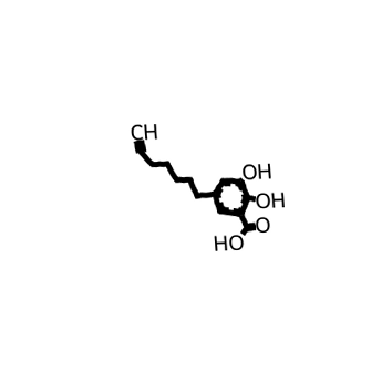 C#CCCCCCc1cc(O)c(O)c(C(=O)O)c1